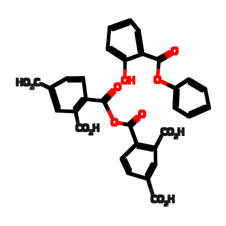 O=C(O)c1ccc(C(=O)OC(=O)c2ccc(C(=O)O)cc2C(=O)O)c(C(=O)O)c1.O=C(Oc1ccccc1)c1ccccc1O